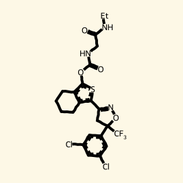 CCNC(=O)CNC(=O)Oc1sc(C2=NOC(c3cc(Cl)cc(Cl)c3)(C(F)(F)F)C2)c2c1CCCC2